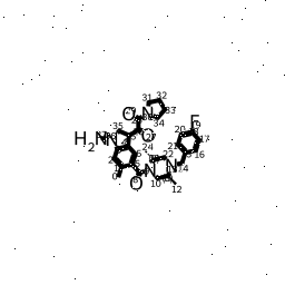 Cc1cc2c(cc1C(=O)N1C[C@H](C)N(Cc3ccc(F)cc3)C[C@H]1C)C(C(=O)C(=O)N1CCCC1)CN2N